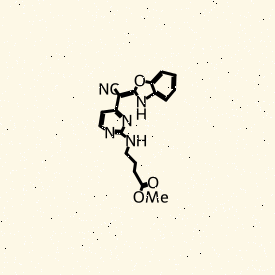 COC(=O)CCCNc1nccc(/C(C#N)=C2\Nc3ccccc3O2)n1